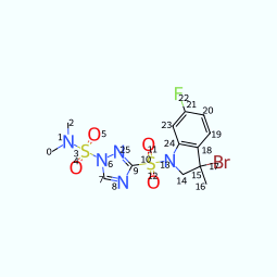 CN(C)S(=O)(=O)n1cnc(S(=O)(=O)N2CC(C)(Br)c3ccc(F)cc32)n1